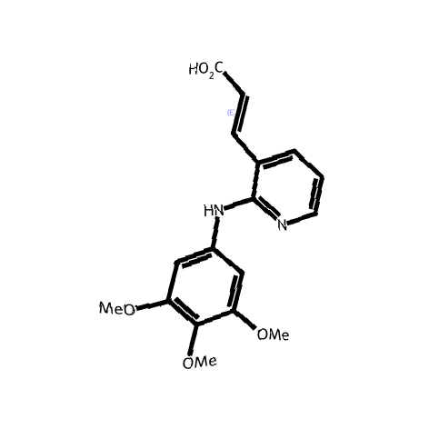 COc1cc(Nc2ncccc2/C=C/C(=O)O)cc(OC)c1OC